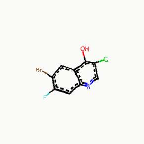 Oc1c(Cl)cnc2cc(F)c(Br)cc12